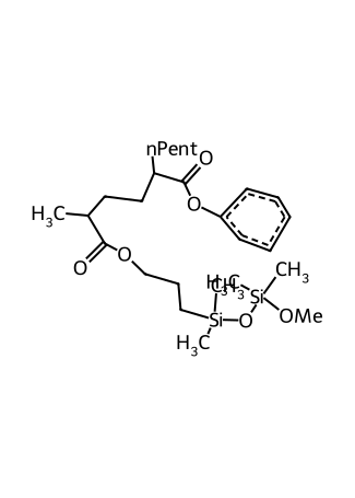 CCCCCC(CCC(C)C(=O)OCCC[Si](C)(C)O[Si](C)(C)OC)C(=O)Oc1ccccc1